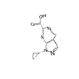 O=C(O)c1ncc2cnn(C3CC3)c2n1